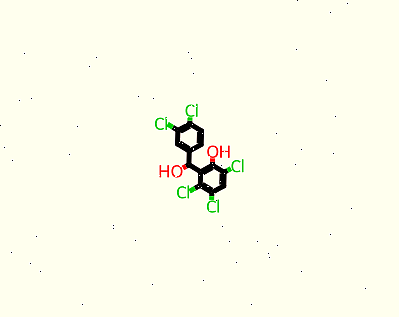 Oc1c(Cl)cc(Cl)c(Cl)c1C(O)c1ccc(Cl)c(Cl)c1